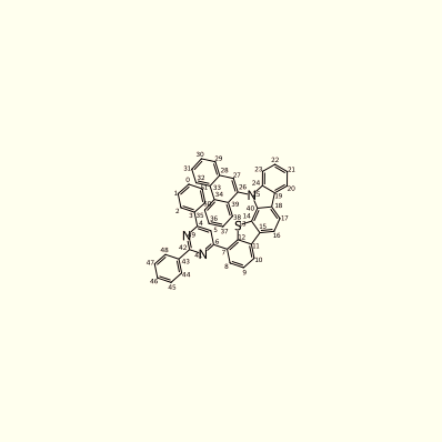 c1ccc(-c2cc(-c3cccc4c3sc3c4ccc4c5ccccc5n(-c5cc6ccccc6c6ccccc56)c43)nc(-c3ccccc3)n2)cc1